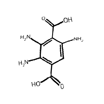 Nc1cc(C(=O)O)c(N)c(N)c1C(=O)O